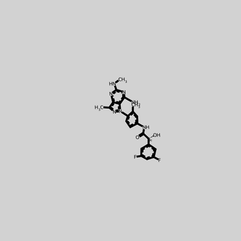 CNc1nc(N)c2c(n1)c(C)nn2-c1ccc(NC(=O)[C@H](O)c2cc(F)cc(F)c2)cc1C